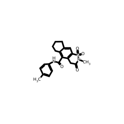 Cc1ccc(NC(=O)c2c3c(cc4c2CC(=O)N(C)S4(=O)=O)CCCC3)cc1